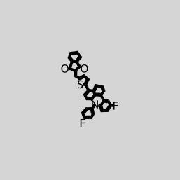 O=C1C(=Cc2ccc(-c3ccc4c5c(cccc35)-c3cc(F)ccc3N4c3ccc(F)cc3)s2)C(=O)c2ccccc21